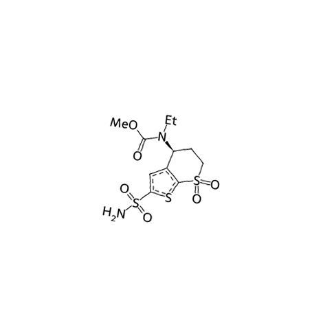 CCN(C(=O)OC)[C@H]1CCS(=O)(=O)c2sc(S(N)(=O)=O)cc21